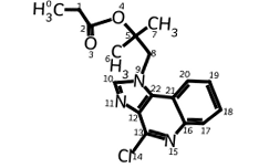 CCC(=O)OC(C)(C)Cn1cnc2c(Cl)nc3ccccc3c21